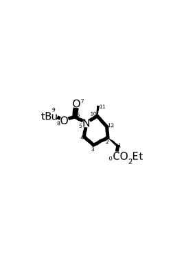 CCOC(=O)C[C@H]1CCN(C(=O)OC(C)(C)C)[C@@H](C)C1